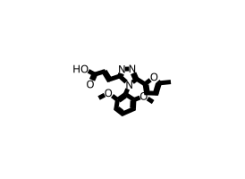 COc1cccc(OC)c1-n1c(C=CC(=O)O)nnc1-c1ccc(C)o1